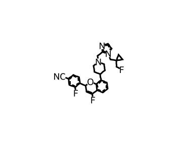 N#Cc1ccc(C2C=C(F)c3cccc(C4CCN(Cc5nccn5CC5(CF)CC5)CC4)c3O2)c(F)c1